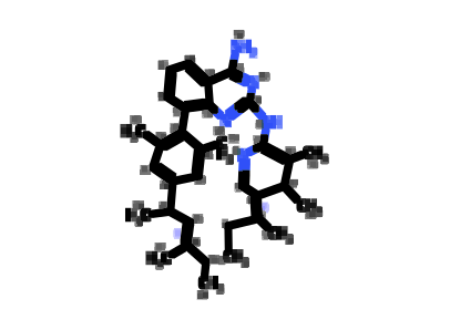 CC/C(C)=C1\C=NC(Nc2nc(N)c3cccc(-c4c(C)cc(C(C)/C=C(\C)CC)cc4C)c3n2)=C(C)C1C